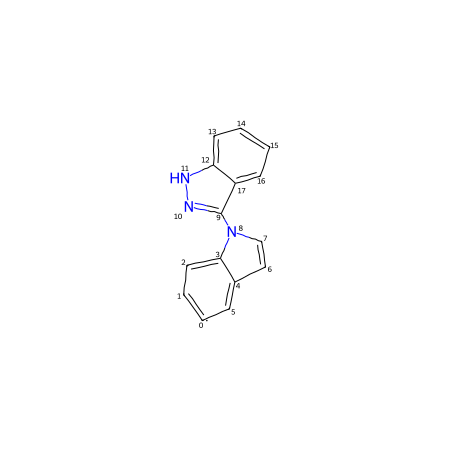 [c]1ccc2c(c1)ccn2-c1n[nH]c2ccccc12